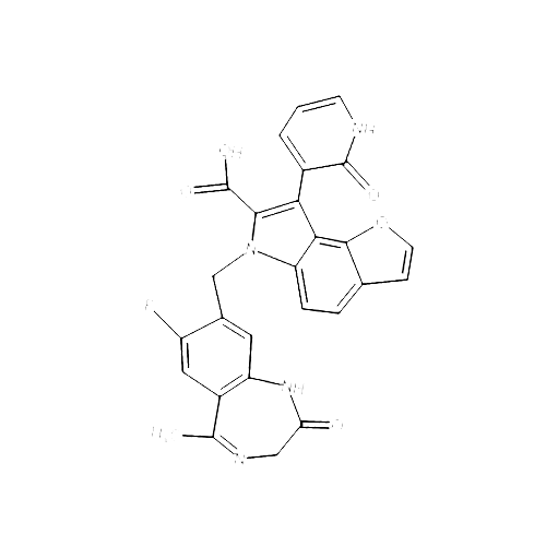 CC1=NCC(=O)Nc2cc(Cn3c(C(=O)O)c(-c4ccc[nH]c4=O)c4c5occc5ccc43)c(F)cc21